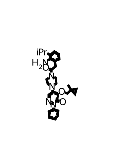 CC(C)c1cccc(CC(=O)N2CCN(c3cnn(-c4ccccc4)c(=O)c3OCC3(C)CC3)CC2)c1N